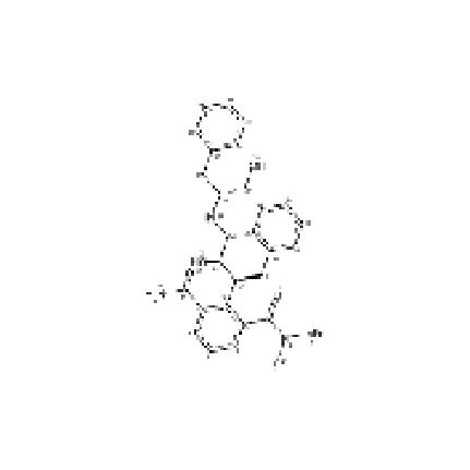 CCCN(CCC)C(=O)c1cccc(C(N)=O)c1[C@H](Cc1ccccc1)[C@@H](O)CN[C@@H](CO)Cc1ccccc1